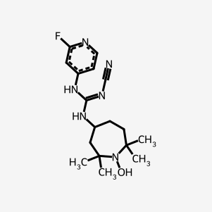 CC1(C)CCC(NC(=NC#N)Nc2ccnc(F)c2)CC(C)(C)N1O